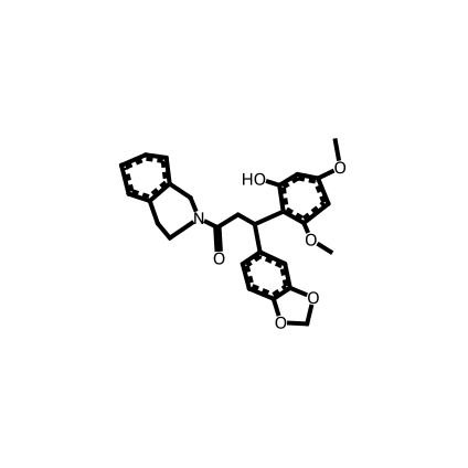 COc1cc(O)c(C(CC(=O)N2CCc3ccccc3C2)c2ccc3c(c2)OCO3)c(OC)c1